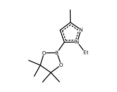 CCn1nc(C)cc1B1OC(C)(C)C(C)(C)O1